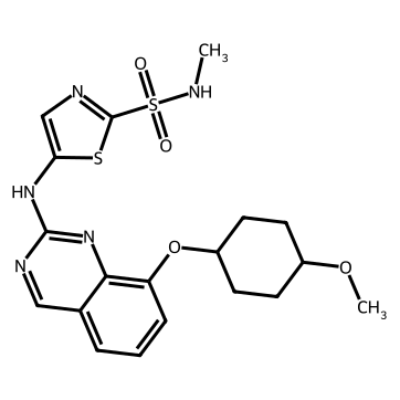 CNS(=O)(=O)c1ncc(Nc2ncc3cccc(OC4CCC(OC)CC4)c3n2)s1